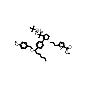 CCCCCC(OCc1ccc(OC)cc1)c1ccc(C2=C(C(C)(C)O[SiH2]C(C)(C)C)CC[C@@H]2CCCc2ccc(C(=O)OC)s2)cc1